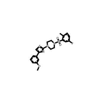 COc1cccc(-c2csc(N3CCN(S(=O)(=O)c4cc(F)ccc4C)CC3)n2)c1